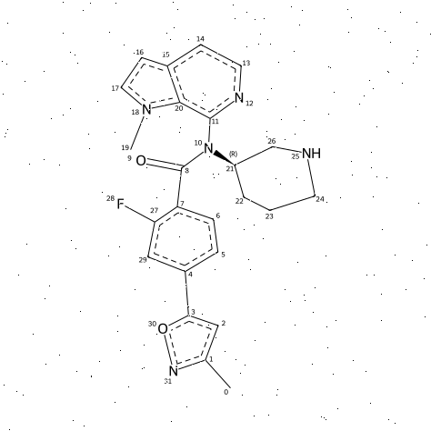 Cc1cc(-c2ccc(C(=O)N(c3nccc4ccn(C)c34)[C@@H]3CCCNC3)c(F)c2)on1